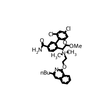 CCCCc1cc2ccccc2c(OCC[N+](C)(C)[C@@H](C(=O)OC)c2ccc(C(N)=O)cc2-c2ccc(Cl)cc2Cl)n1